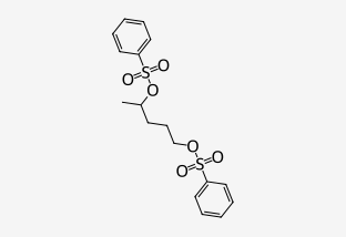 CC(CCCOS(=O)(=O)c1ccccc1)OS(=O)(=O)c1ccccc1